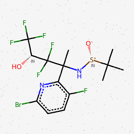 CC(C)(C)[S@@+]([O-])NC(C)(c1nc(Br)ccc1F)C(F)(F)[C@H](O)C(F)(F)F